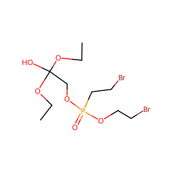 CCOC(O)(COP(=O)(CCBr)OCCBr)OCC